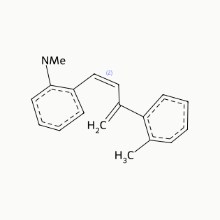 C=C(/C=C\c1ccccc1NC)c1ccccc1C